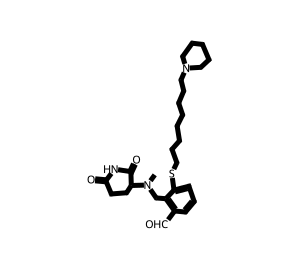 CN(Cc1c(C=O)cccc1SCCCCCCCCN1CCCCC1)C1CCC(=O)NC1=O